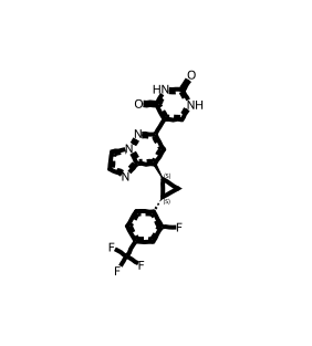 O=c1[nH]cc(-c2cc([C@H]3C[C@@H]3c3ccc(C(F)(F)F)cc3F)c3nccn3n2)c(=O)[nH]1